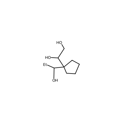 CCC(O)C1(C(O)CO)CCCC1